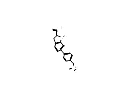 O=C(O)C1Cc2ccc(-c3ccc(C[SH](=O)=O)cc3)cc2N1O